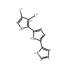 Ic1csc(-c2ccc(-c3cccs3)s2)c1I